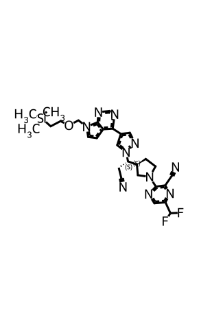 C[Si](C)(C)CCOCn1ccc2c(-c3cnn([C@@H](CC#N)[C@H]4CCN(c5ncc(C(F)F)nc5C#N)C4)c3)ncnc21